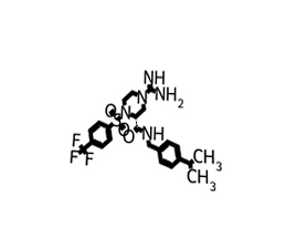 CC(C)c1ccc(CNC(=O)[C@H]2CN(C(=N)N)CCN2S(=O)(=O)c2ccc(C(F)(F)F)cc2)cc1